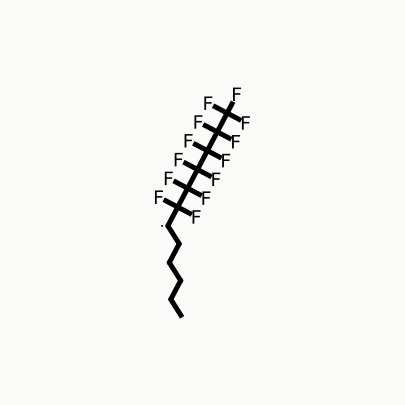 CCCCC[CH]C(F)(F)C(F)(F)C(F)(F)C(F)(F)C(F)(F)C(F)(F)F